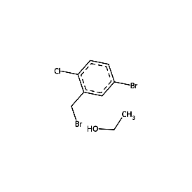 CCO.Clc1ccc(Br)cc1CBr